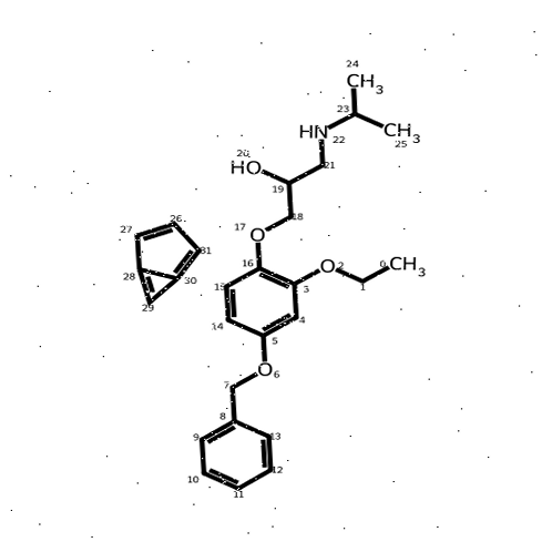 CCOc1cc(OCc2ccccc2)ccc1OCC(O)CNC(C)C.c1cc2cc-2c1